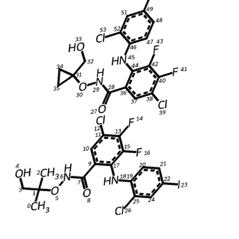 CC(C)(CO)ONC(=O)c1cc(Cl)c(F)c(F)c1Nc1ccc(I)cc1Cl.O=C(NOC1(CO)CC1)c1cc(Cl)c(F)c(F)c1Nc1ccc(I)cc1Cl